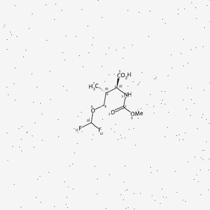 COC(=O)N[C@H](C(=O)O)[C@@H](C)COC(F)F